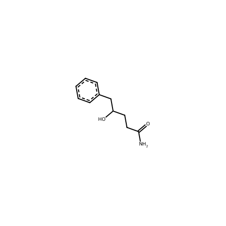 NC(=O)CCC(O)Cc1ccccc1